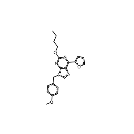 CCCCOc1nc(-c2ccco2)c2ncn(Cc3ccc(OC)cc3)c2n1